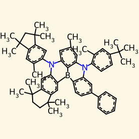 Cc1cc2c3c(c1)N(c1cc4c(cc1C)C(C)(C)CC4(C)C)c1cc4c(cc1B3c1ccc(-c3ccccc3)cc1N2c1ccc(C(C)(C)C)cc1C)C(C)(C)CCC4(C)C